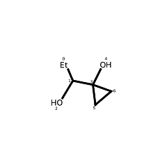 CC[C](O)C1(O)CC1